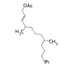 CC(=O)OC/C=C/C(C)CCCC(C)CCCC(C)C